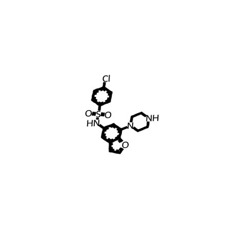 O=S(=O)(Nc1cc(N2CCNCC2)c2occc2c1)c1ccc(Cl)cc1